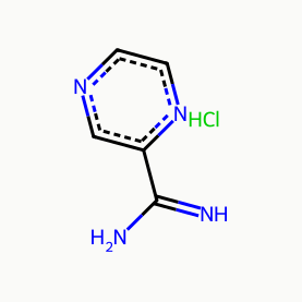 Cl.N=C(N)c1cnccn1